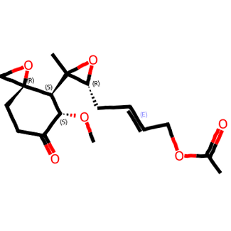 CO[C@@H]1C(=O)CC[C@]2(CO2)[C@H]1C1(C)O[C@@H]1C/C=C/COC(C)=O